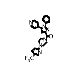 O=C(c1cc(-c2ccncc2)n(-c2ccccc2)n1)N1CCN(c2ccc(C(F)(F)F)cn2)CC1